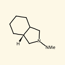 CNN1CC2CCCC[C@H]2C1